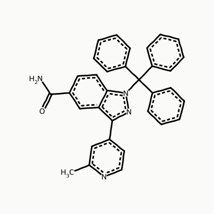 Cc1cc(-c2nn(C(c3ccccc3)(c3ccccc3)c3ccccc3)c3ccc(C(N)=O)cc23)ccn1